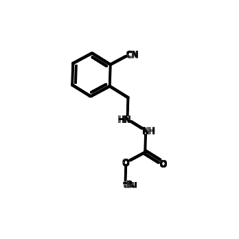 CC(C)(C)OC(=O)NNCc1ccccc1C#N